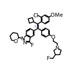 COc1ccc(/C(=C(\c2ccc(OCCN3CCC(CF)C3)cc2)c2ccc3c(c2)c(F)nn3C2CCCCO2)C2CCC2)c(Cl)c1